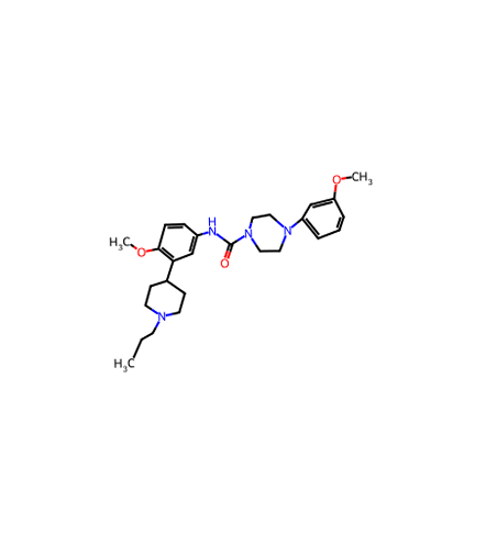 CCCN1CCC(c2cc(NC(=O)N3CCN(c4cccc(OC)c4)CC3)ccc2OC)CC1